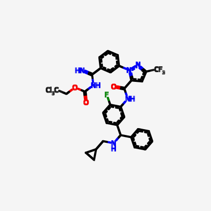 N=C(NC(=O)OCC(Cl)(Cl)Cl)c1cccc(-n2nc(C(F)(F)F)cc2C(=O)Nc2cc(C(NCC3CC3)c3ccccc3)ccc2F)c1